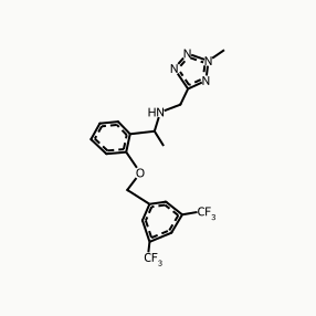 CC(NCc1nnn(C)n1)c1ccccc1OCc1cc(C(F)(F)F)cc(C(F)(F)F)c1